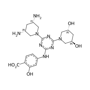 N[C@@H]1C[C@H](N)CN(c2nc(Nc3ccc(C(=O)O)c(O)c3)nc(N3C[C@H](O)C[C@@H](O)C3)n2)C1